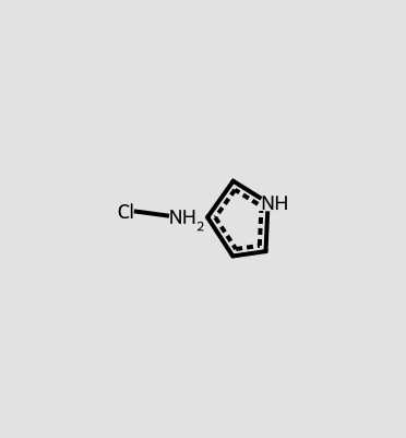 NCl.c1cc[nH]c1